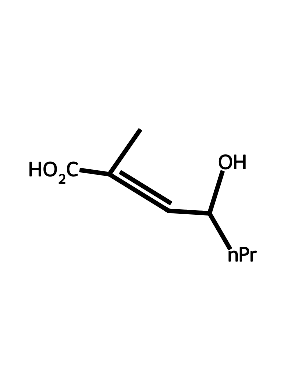 CCCC(O)/C=C(\C)C(=O)O